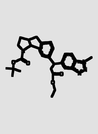 CCOC(=O)CC(c1ccc2c(c1)C1C(CCN1C(=O)OC(C)(C)C)C2)c1ccc2c(c1)nnn2C